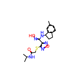 Cc1ccc2c(c1)C(N/C(=N\O)c1nonc1SCC(=O)NC(C)C)CC2